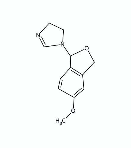 COc1ccc2c(c1)COC2N1C=NCC1